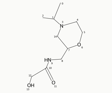 CC(C)N1CCOC(CNC(=O)CO)C1